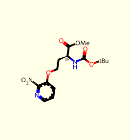 COC(=O)[C@H](CCOc1cccnc1[N+](=O)[O-])NC(=O)OC(C)(C)C